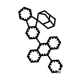 c1ccc2c(c1)-c1ccc(-c3c4ccccc4c(-c4ccncc4)c4ccccc34)cc1C21C2CC3CC(C2)CC1C3